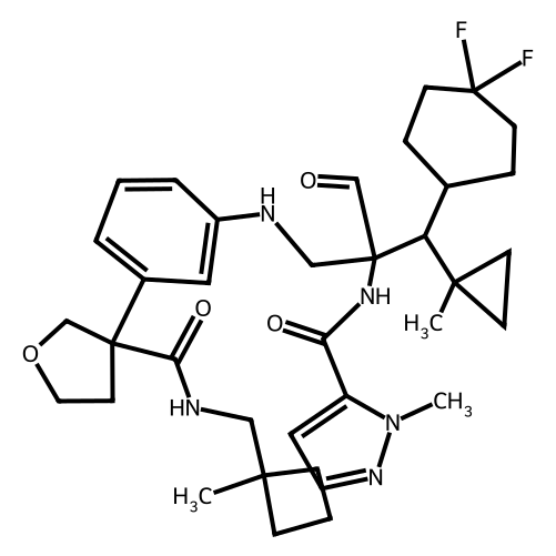 Cn1nccc1C(=O)NC(C=O)(CNc1cccc(C2(C(=O)NCC3(C)CCC3)CCOC2)c1)C(C1CCC(F)(F)CC1)C1(C)CC1